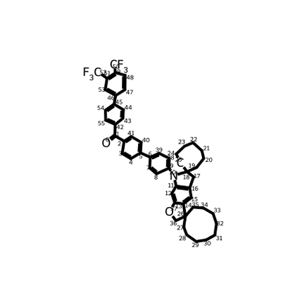 O=C(c1ccc(-c2ccc(N3c4cc5c(cc4CC34CCCCCCC4)C3(CCCCCCCCC3)CO5)cc2)cc1)c1ccc(-c2ccc(C(F)(F)F)c(C(F)(F)F)c2)cc1